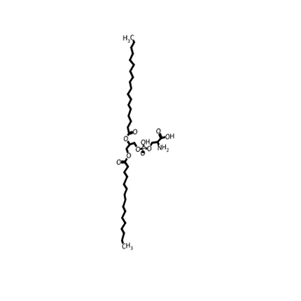 CCCCCCCCCCCCCCCCCC(=O)OC(COC(=O)CCCCCCCCCCCCCCC)COP(=O)(O)OCC(N)C(=O)O